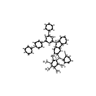 Bc1c(B)c(B)c(N(c2ccc3c(c2)c2ccccc2n3-c2nc(-c3ccccc3)nc(-c3ccc(-c4ccccc4)cc3)n2)c2ccccc2C)c(B)c1B